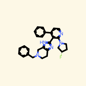 F[C@H]1CCN(c2nccc(-c3ccccc3)c2-c2nc3c([nH]2)CN(Cc2ccccc2)CC3)C1